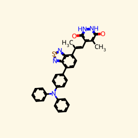 C/C(=C\c1c(C)c(=O)[nH][nH]c1=O)c1ccc(-c2ccc(N(c3ccccc3)c3ccccc3)cc2)c2nsnc12